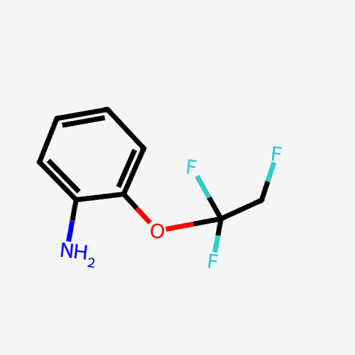 Nc1ccccc1OC(F)(F)CF